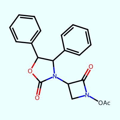 CC(=O)ON1CC(N2C(=O)OC(c3ccccc3)C2c2ccccc2)C1=O